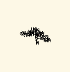 N#CCCOP(=O)(OCC1OC(n2cnc3c(NC(=O)c4ccccc4)ncnc32)C[C@@H]1P(=O)(O)OCCC#N)O[C@@H]1C(CO)OC(n2cnc3c(=O)[nH]cnc32)[C@@H]1F